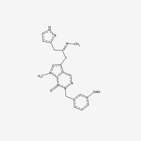 C/N=C(/Cc1cc[nH]n1)Sc1cn(C)c2c(=O)n(Cc3cccc(OC)c3)ncc12